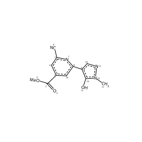 COC(=O)c1cc(C#N)nc(-c2cnn(C)c2O)c1